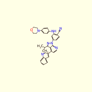 CC(C)c1nn(-c2ccc(C#N)c(Nc3ccc(N4CCOCC4)cc3)c2)c2nccc(-c3cnc4ccccc4c3)c12